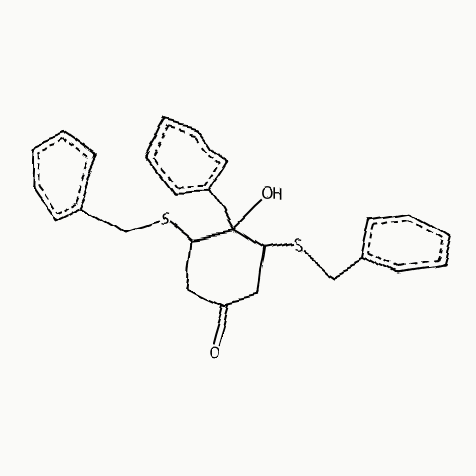 O=C1CC(SCc2ccccc2)C(O)(c2ccccc2)C(SCc2ccccc2)C1